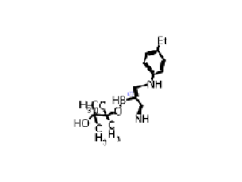 CCc1ccc(N/C=C(/BOC(C)(C)C(C)(C)O)C=N)cc1